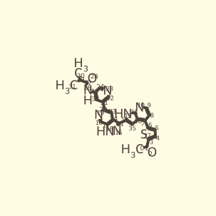 CC(=O)c1ccc(-c2ccnc3[nH]c(-c4n[nH]c5cnc(-c6cncc(NC(=O)C(C)C)c6)cc45)cc23)s1